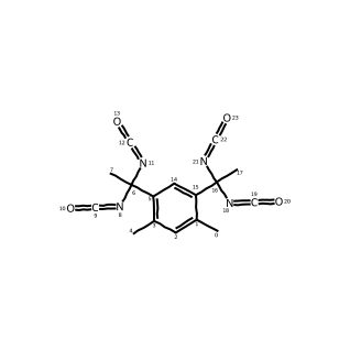 Cc1cc(C)c(C(C)(N=C=O)N=C=O)cc1C(C)(N=C=O)N=C=O